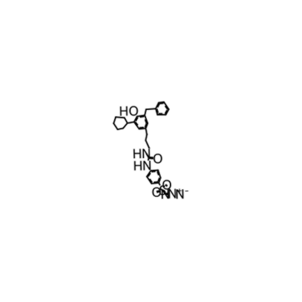 [N-]=[N+]=NS(=O)(=O)c1ccc(NC(=O)NCCCc2cc(Cc3ccccc3)c(O)c(C3CCCCC3)c2)cc1